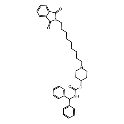 O=C(NC(c1ccccc1)c1ccccc1)OC1CCN(CCCCCCCCCN2C(=O)c3ccccc3C2=O)CC1